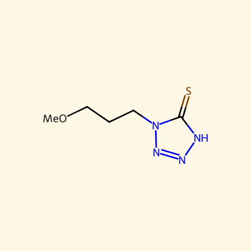 COCCCn1nn[nH]c1=S